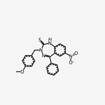 COc1ccc(CN2N=C(c3ccccc3)c3cc([N+](=O)[O-])ccc3NC2=S)cc1